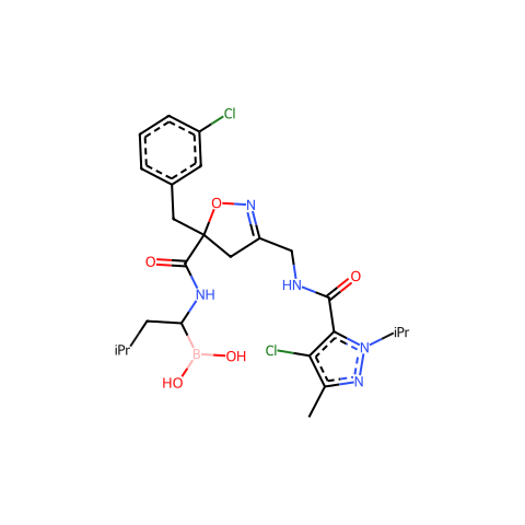 Cc1nn(C(C)C)c(C(=O)NCC2=NOC(Cc3cccc(Cl)c3)(C(=O)NC(CC(C)C)B(O)O)C2)c1Cl